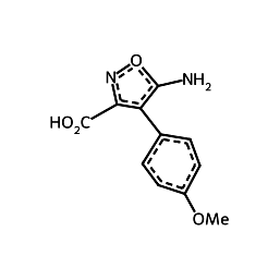 COc1ccc(-c2c(C(=O)O)noc2N)cc1